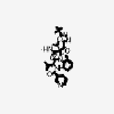 CC(C)[C@H](NC(=O)c1cccnc1)C(=O)N1c2ccccc2C[C@H]1[C@](C([NH])=O)(C(=O)c1nnc(C(C)(C)C)o1)C(C)C